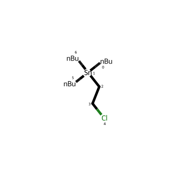 CCC[CH2][Sn]([CH2]CCl)([CH2]CCC)[CH2]CCC